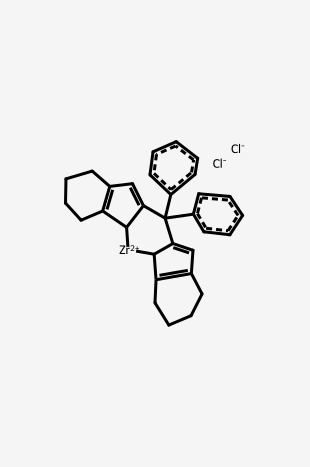 C1=C2[CH]([Zr+2][CH]3C(=CC4=C3CCCC4)C2(c2ccccc2)c2ccccc2)C2=C1CCCC2.[Cl-].[Cl-]